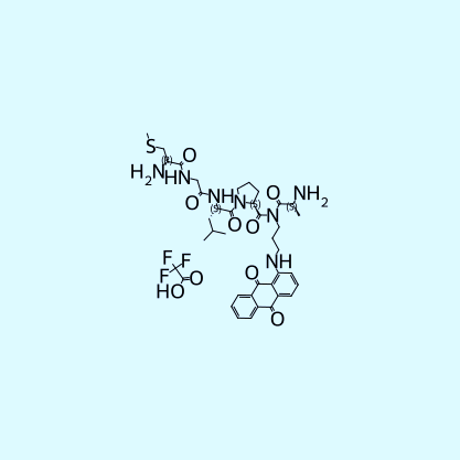 CSC[C@H](N)C(=O)NCC(=O)N[C@@H](CC(C)C)C(=O)N1CCC[C@H]1C(=O)N(CCCNc1cccc2c1C(=O)c1ccccc1C2=O)C(=O)[C@H](C)N.O=C(O)C(F)(F)F